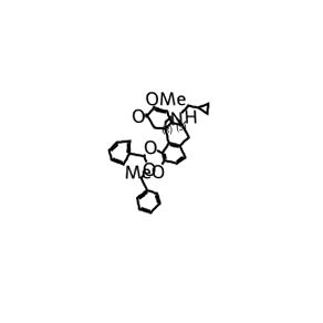 COC1=CC2[C@@H]3Cc4ccc(OC)c(OC(OCc5ccccc5)c5ccccc5)c4[C@]2(CCN3CC2CC2)CC1=O